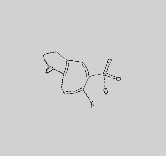 O=S(=O)(Cl)c1cc2c(cc1F)OCC2